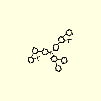 CC1(C)c2ccccc2-c2ccc(-c3ccc(N(c4ccc(-c5cccc6c5C(C)(C)c5ccccc5-6)cc4)c4ccc(-c5ccccc5)c(-c5ccccc5)c4)cc3)cc21